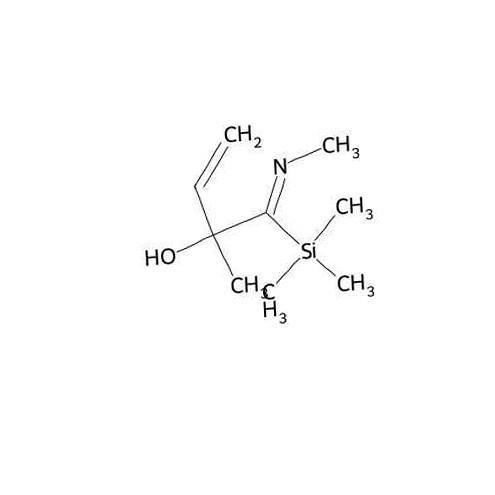 C=CC(C)(O)C(=NC)[Si](C)(C)C